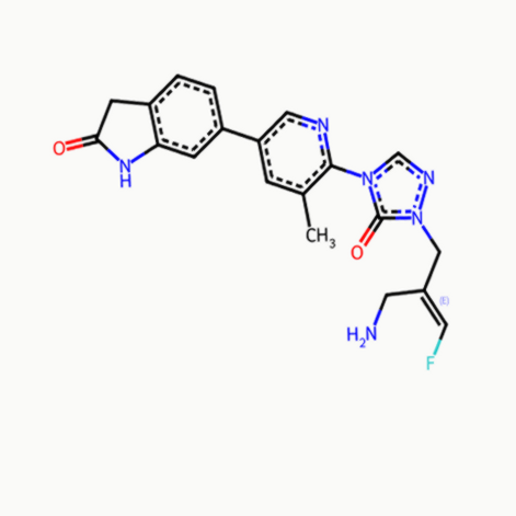 Cc1cc(-c2ccc3c(c2)NC(=O)C3)cnc1-n1cnn(C/C(=C/F)CN)c1=O